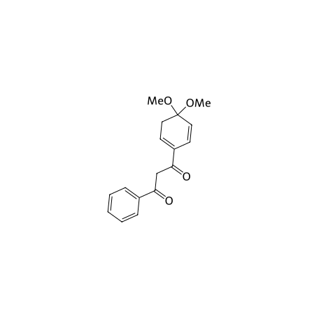 COC1(OC)C=CC(C(=O)CC(=O)c2ccccc2)=CC1